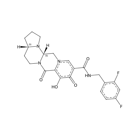 O=C(NCc1ccc(F)cc1F)c1cn2c(c(O)c1=O)C(=O)N1CC[C@@H]3CCCN3[C@@H]1C2